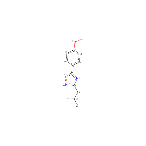 COc1ccc(-c2nc(CC(C)C)no2)cc1